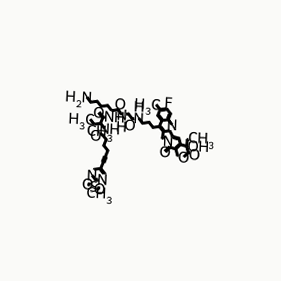 CC[C@@]1(O)C(=O)OCc2c1cc1n(c2=O)Cc2c-1nc1cc(F)c(C)cc1c2CCCNC(=O)CNC(=O)C(CCCCN)NC(=O)C(NC(=O)CCCC#Cc1cnc(S(C)(=O)=O)nc1)C(C)C